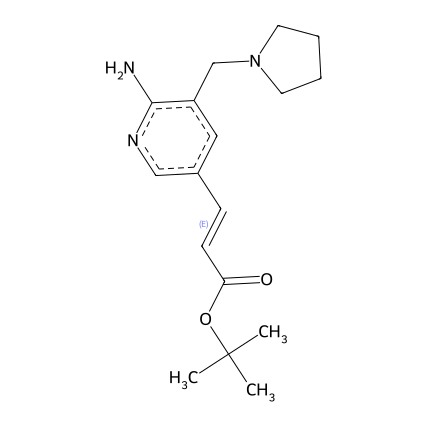 CC(C)(C)OC(=O)/C=C/c1cnc(N)c(CN2CCCC2)c1